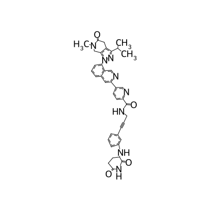 CC(C)c1nn(-c2cccc3cc(-c4ccc(C(=O)NCC#Cc5cccc(NC6CCC(=O)NC6=O)c5)nc4)ncc23)c2c1CC(=O)N(C)C2